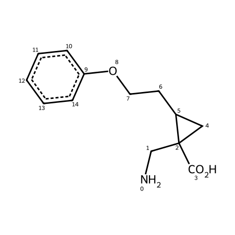 NCC1(C(=O)O)CC1CCOc1ccccc1